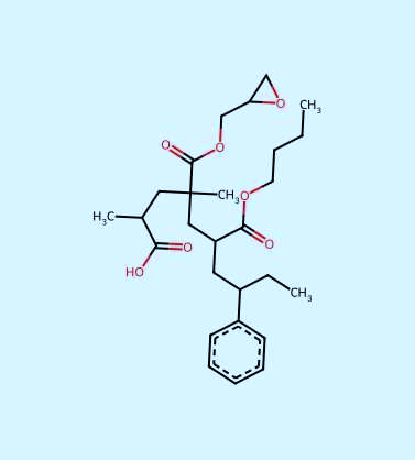 CCCCOC(=O)C(CC(CC)c1ccccc1)CC(C)(CC(C)C(=O)O)C(=O)OCC1CO1